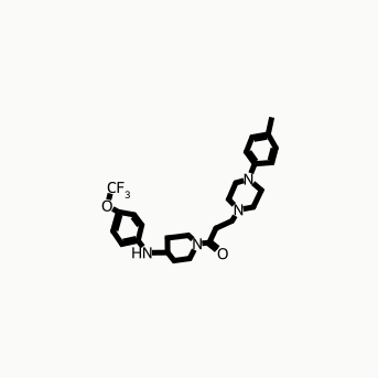 Cc1ccc(N2CCN(CCC(=O)N3CCC(Nc4ccc(OC(F)(F)F)cc4)CC3)CC2)cc1